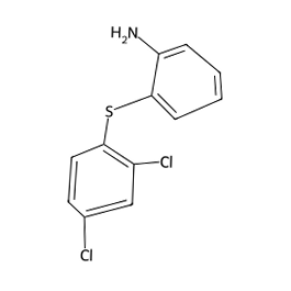 Nc1ccccc1Sc1ccc(Cl)cc1Cl